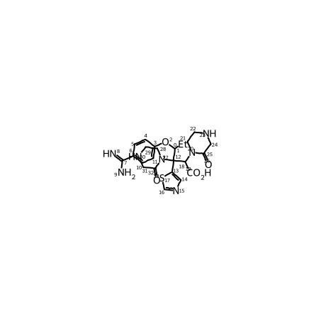 CCC(Oc1ccc(C(=N)N)cc1)C(c1cncs1)(C(C(=O)O)N1CCNCC1=O)N1CCNCC1=O